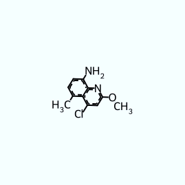 COc1cc(Cl)c2c(C)ccc(N)c2n1